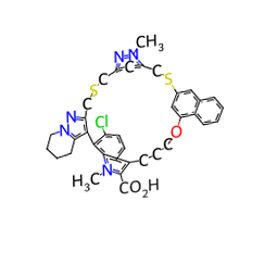 Cn1nc2cc1CSc1cc(c3ccccc3c1)OCCCc1c(C(=O)O)n(C)c3c(c(Cl)ccc13)-c1c(nn3c1CCCC3)CSC2